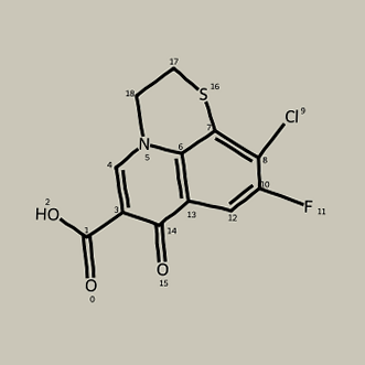 O=C(O)c1cn2c3c(c(Cl)c(F)cc3c1=O)SCC2